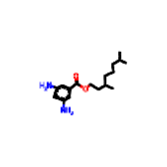 CC(C)CCCC(C)CCOC(=O)c1cc(N)cc(N)c1